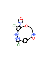 O=C1NCCCCOCc2cc(cc(Cl)c2N2CCOCC2)Nc2ncc(Cl)c(n2)-c2ccc1cc2